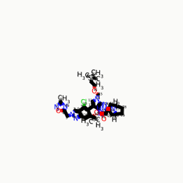 Cc1noc(Cn2cc3c(Cl)c(-c4cn(COCC[Si](C)(C)C)c5nc(N6[C@@H]7CC[C@H]6C[C@@H](NC(=O)OC(C)(C)C)C7)cnc45)ccc3n2)n1